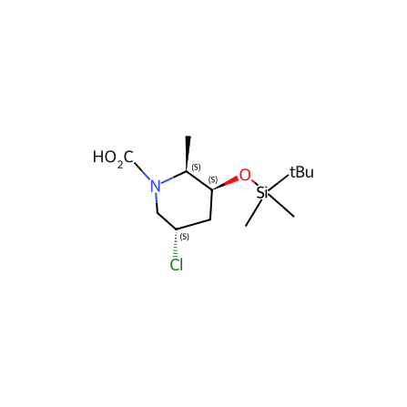 C[C@H]1[C@@H](O[Si](C)(C)C(C)(C)C)C[C@H](Cl)CN1C(=O)O